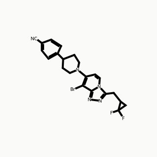 N#Cc1ccc(C2CCN(c3ccn4c(CC5CC5(F)F)nnc4c3Br)CC2)cc1